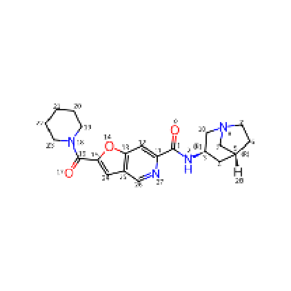 O=C(N[C@@H]1C[C@H]2CCN(C2)C1)c1cc2oc(C(=O)N3CCCCC3)cc2cn1